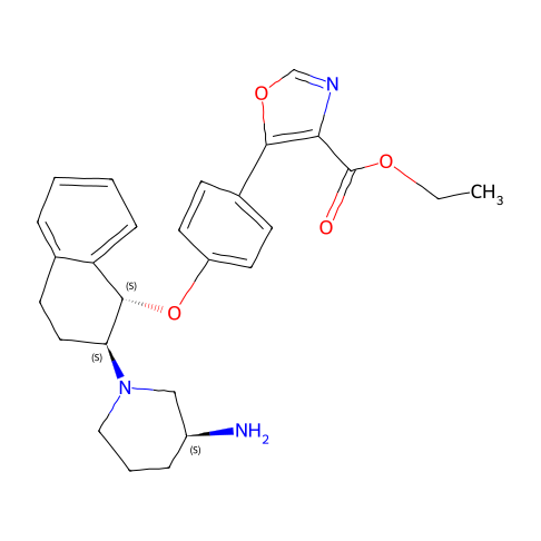 CCOC(=O)c1ncoc1-c1ccc(O[C@H]2c3ccccc3CC[C@@H]2N2CCC[C@H](N)C2)cc1